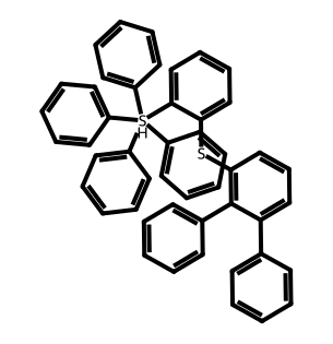 c1ccc(-c2cccc(Sc3ccccc3[SH](c3ccccc3)(c3ccccc3)(c3ccccc3)c3ccccc3)c2-c2ccccc2)cc1